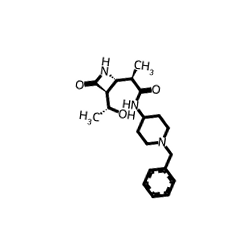 C[C@@H](O)[C@H]1C(=O)N[C@@H]1[C@@H](C)C(=O)NC1CCN(Cc2ccccc2)CC1